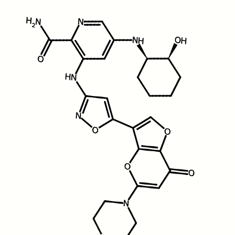 NC(=O)c1ncc(N[C@@H]2CCCC[C@@H]2O)cc1Nc1cc(-c2coc3c(=O)cc(N4CCOCC4)oc23)on1